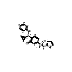 O=S(=O)(Nc1nccs1)c1ccc(N(Cc2ccccc2)C2CC2)c(Cl)c1